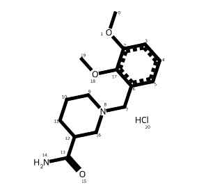 COc1cccc(CN2CCCC(C(N)=O)C2)c1OC.Cl